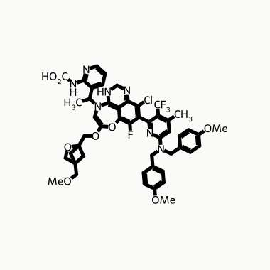 COCC12COC(COC3=CN(C(C)c4cccnc4NC(=O)O)C4=c5c(c(F)c(-c6nc(N(Cc7ccc(OC)cc7)Cc7ccc(OC)cc7)cc(C)c6C(F)(F)F)c(Cl)c5=NCN4)O3)(C1)C2